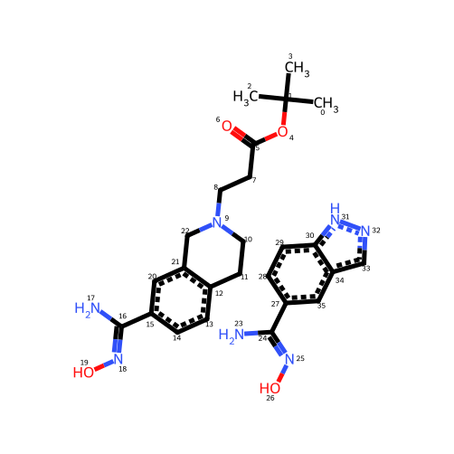 CC(C)(C)OC(=O)CCN1CCc2ccc(C(N)=NO)cc2C1.NC(=NO)c1ccc2[nH]ncc2c1